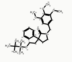 COc1cc(CN2CCC(CCO[Si](C)(C)C(C)(C)C)(c3ccccc3)C2=O)cc(OC)c1OC